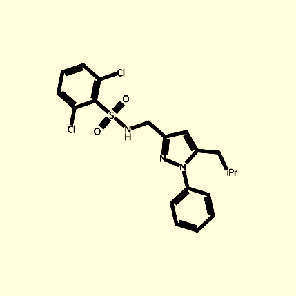 CC(C)Cc1cc(CNS(=O)(=O)c2c(Cl)cccc2Cl)nn1-c1ccccc1